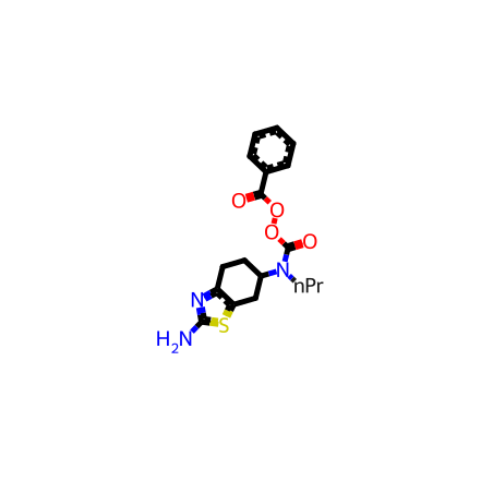 CCCN(C(=O)OOC(=O)c1ccccc1)C1CCc2nc(N)sc2C1